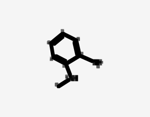 CNc1ccccc1[NH]